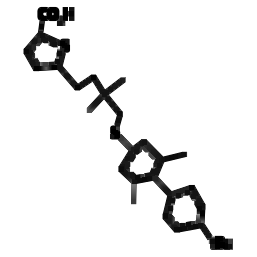 Cc1cc(SCC(C)(C)CCc2ccc(C(=O)O)s2)cc(C)c1-c1ccc(C(C)(C)C)cc1